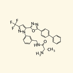 C[C@H](N)C(=O)NCc1cccc(-n2nc(C(F)(F)F)cc2-c2nnc(-c3ccc(-c4ccccc4)cc3)o2)c1